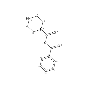 O=C(OC(=O)N1CCNCC1)c1ccccc1